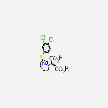 CN1C2CCC1(/C(=C\C(=O)O)C(=O)O)CC(Sc1ccc(Cl)c(Cl)c1)C2